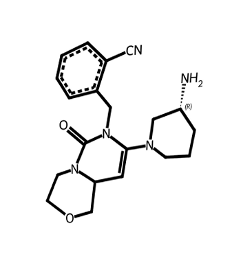 N#Cc1ccccc1CN1C(=O)N2CCOCC2C=C1N1CCC[C@@H](N)C1